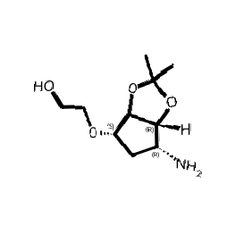 CC1(C)OC2[C@@H](OCCO)C[C@@H](N)[C@H]2O1